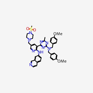 COc1ccc(CN(Cc2ccc(OC)cc2)c2nc(C)nc(-c3cc(CN4CCN(S(C)(=O)=O)CC4)cnc3Nc3ccc4ccncc4c3)n2)cc1